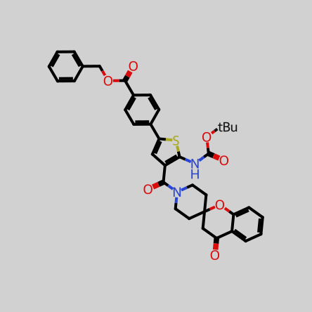 CC(C)(C)OC(=O)Nc1sc(-c2ccc(C(=O)OCc3ccccc3)cc2)cc1C(=O)N1CCC2(CC1)CC(=O)c1ccccc1O2